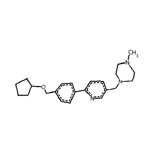 CN1CCN(Cc2ccc(-c3ccc(COC4CCCC4)cc3)nc2)CC1